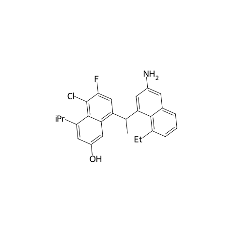 CCc1cccc2cc(N)cc(C(C)c3cc(F)c(Cl)c4c(C(C)C)cc(O)cc34)c12